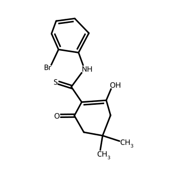 CC1(C)CC(=O)C(C(=S)Nc2ccccc2Br)=C(O)C1